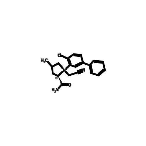 CC1C[C@@H](C(N)=O)[N+](CC#N)(c2cc(-c3ccccc3)ccc2Cl)C1